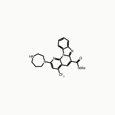 CNC(=O)c1cc2c(C(F)(F)F)cc(N3CCCNCC3)nc2n2c1nc1ccccc12